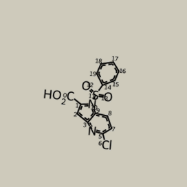 O=C(O)c1cc2nc(Cl)ccc2n1S(=O)(=O)c1ccccc1